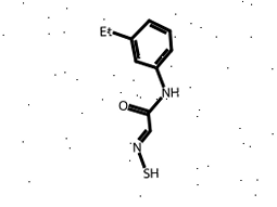 CCc1cccc(NC(=O)C=NS)c1